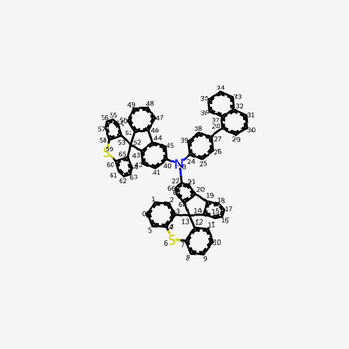 c1ccc2c(c1)Sc1ccccc1C21c2ccccc2-c2cc(N(c3ccc(-c4cccc5ccccc45)cc3)c3ccc4c(c3)-c3ccccc3C43c4ccccc4Sc4ccccc43)ccc21